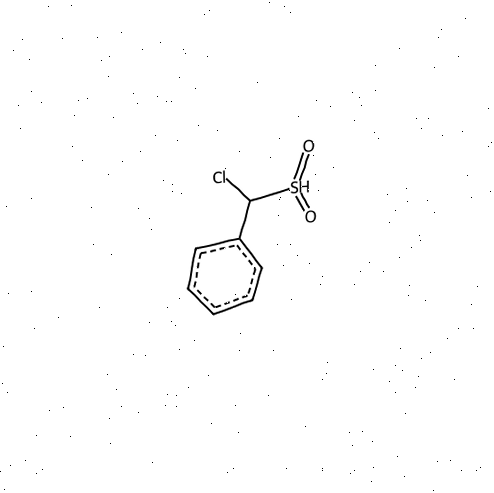 O=[SH](=O)C(Cl)c1ccccc1